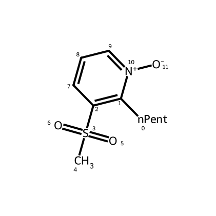 CCCCCc1c(S(C)(=O)=O)ccc[n+]1[O-]